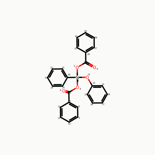 O=C(O[Si](OC(=O)c1ccccc1)(Oc1ccccc1)c1ccccc1)c1ccccc1